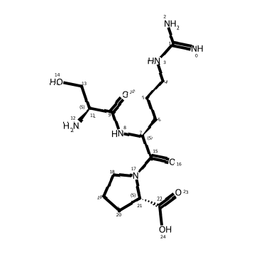 N=C(N)NCCC[C@H](NC(=O)[C@@H](N)CO)C(=O)N1CCC[C@H]1C(=O)O